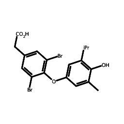 Cc1cc(Oc2c(Br)cc(CC(=O)O)cc2Br)cc(C(C)C)c1O